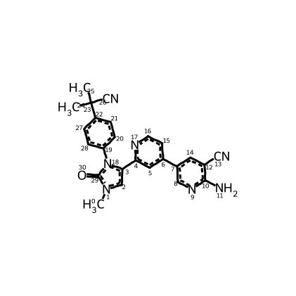 Cn1cc(-c2cc(-c3cnc(N)c(C#N)c3)ccn2)n(-c2ccc(C(C)(C)C#N)cc2)c1=O